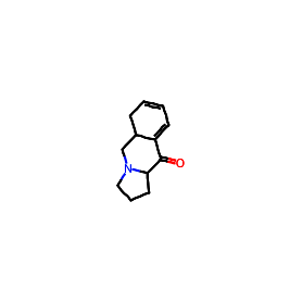 O=C1C2=CC=CCC2CN2CCCC12